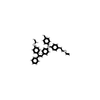 C=COCCc1ccc(N(c2ccc(C)cc2)c2ccc(C=C(c3ccccc3)c3ccc(OCC)cc3)cc2)cc1